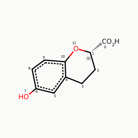 O=C(O)[C@@H]1CCc2cc(O)ccc2O1